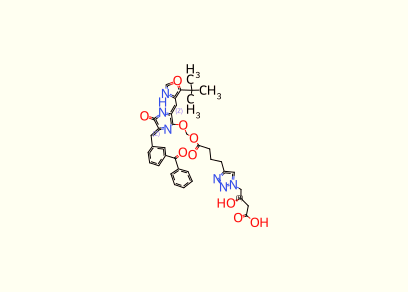 CC(C)(C)c1ocnc1/C=c1\[nH]c(=O)/c(=C/c2cccc(C(=O)c3ccccc3)c2)nc1OCOC(=O)CCCc1cn(C[C@H](O)CC(=O)O)nn1